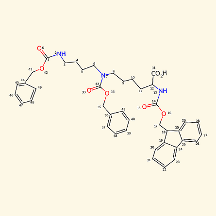 O=C(NCCCCN(CCCCC(NC(=O)OCC1c2ccccc2-c2ccccc21)C(=O)O)C(=O)OCc1ccccc1)OCc1ccccc1